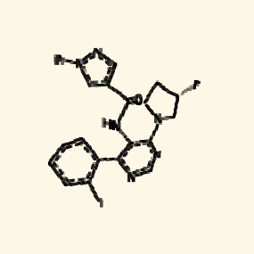 CC(C)n1cc(C(=O)Nc2c(-c3ccccc3I)ncnc2N2CC[C@H](F)C2)cn1